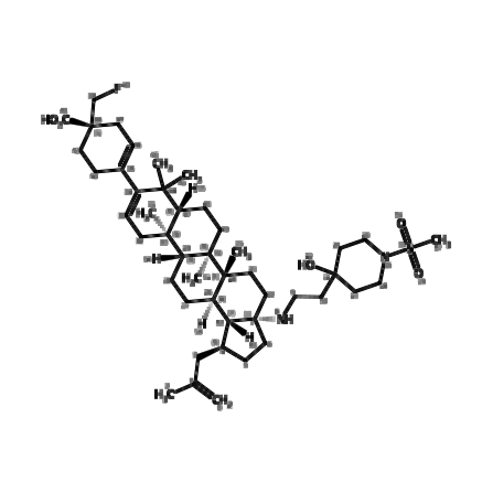 C=C(C)C[C@@H]1CC[C@]2(NCCC3(O)CCN(S(C)(=O)=O)CC3)CC[C@]3(C)[C@H](CC[C@@H]4[C@@]5(C)CC=C(C6=CC[C@](CF)(C(=O)O)CC6)C(C)(C)[C@@H]5CC[C@]43C)[C@@H]12